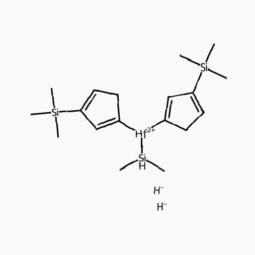 C[SiH](C)[Hf+2]([C]1=CC([Si](C)(C)C)=CC1)[C]1=CC([Si](C)(C)C)=CC1.[H-].[H-]